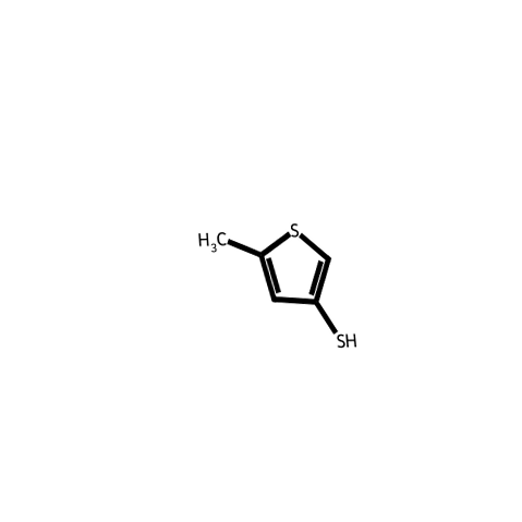 Cc1cc(S)cs1